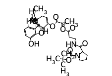 C[C@H](OC(=O)CCNC(=O)C1CCCN1C(=O)OC(C)(C)C)C(=O)OC1=CC[C@@]2(O)[C@H]3Cc4ccc(O)c5c4[C@@]2(CCN3C)[C@H]1O5